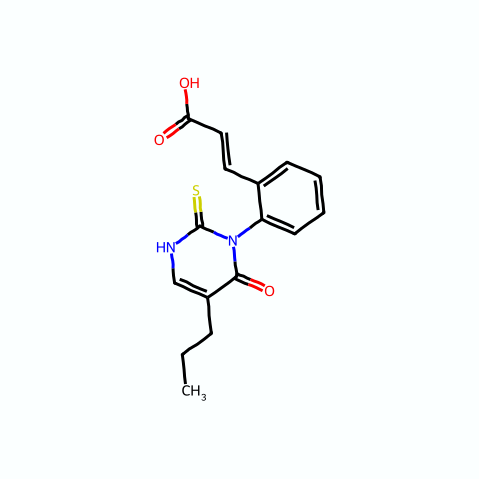 CCCc1c[nH]c(=S)n(-c2ccccc2C=CC(=O)O)c1=O